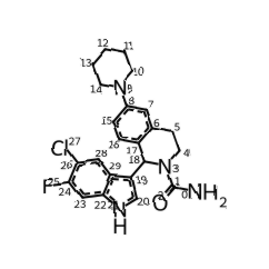 NC(=O)N1CCc2cc(N3CCCCC3)ccc2C1c1c[nH]c2cc(F)c(Cl)cc12